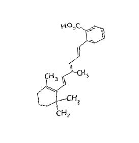 CC1=C(/C=C/C(C)=C/C=C/c2ccccc2C(=O)O)C(C)(C)CCC1